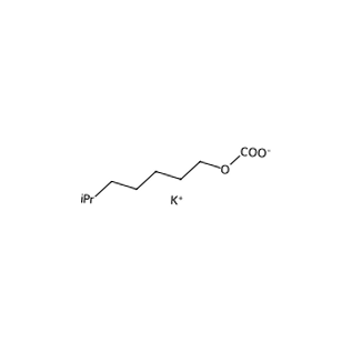 CC(C)CCCCCOC(=O)[O-].[K+]